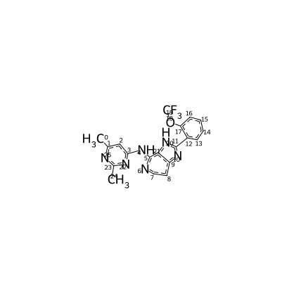 Cc1cc(Nc2nccc3nc(-c4ccccc4OC(F)(F)F)[nH]c23)nc(C)n1